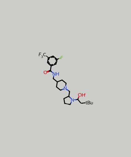 CC(C)(C)CC(O)N1CCCC1CN1CCC(CNC(=O)c2cc(F)cc(C(F)(F)F)c2)CC1